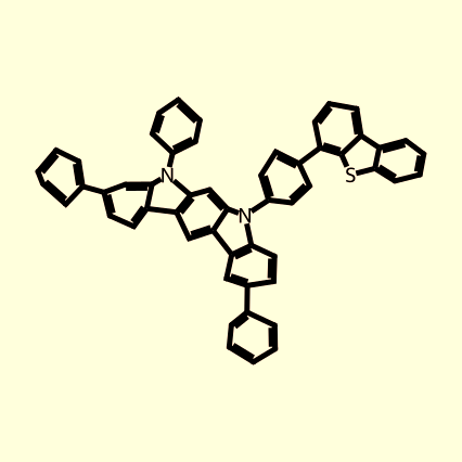 c1ccc(-c2ccc3c(c2)c2cc4c5ccc(-c6ccccc6)cc5n(-c5ccccc5)c4cc2n3-c2ccc(-c3cccc4c3sc3ccccc34)cc2)cc1